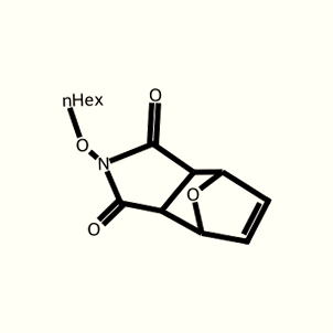 CCCCCCON1C(=O)C2C3C=CC(O3)C2C1=O